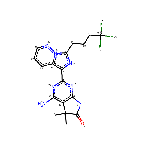 CC1(C)C(=O)Nc2nc(-c3nc(CCCC(F)(F)F)n4ncccc34)nc(N)c21